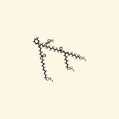 CCCCCCCCCCCOC(=O)CCCCCN(CCN(CCO)CCCCCCCC(=O)OCC(CCCCCCCC)CCCCCCCC)C1CCCCC1